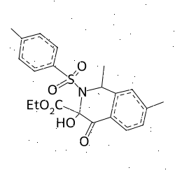 CCOC(=O)C1(O)C(=O)c2ccc(C)cc2C(C)N1S(=O)(=O)c1ccc(C)cc1